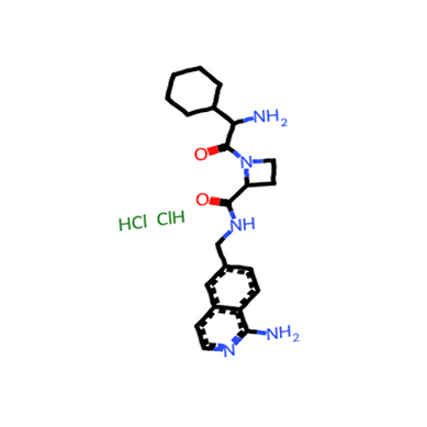 Cl.Cl.Nc1nccc2cc(CNC(=O)C3CCN3C(=O)C(N)C3CCCCC3)ccc12